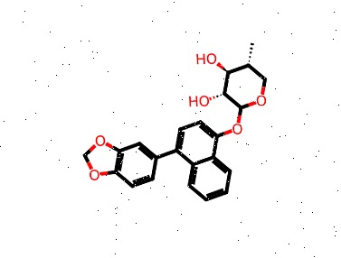 C[C@@H]1COC(Oc2ccc(-c3ccc4c(c3)OCO4)c3ccccc23)[C@H](O)[C@H]1O